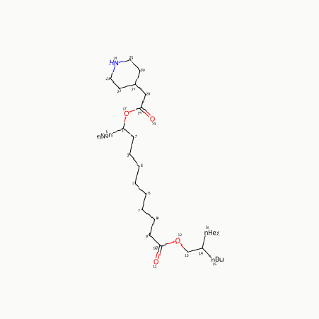 CCCCCCCCCC(CCCCCCCCC(=O)OCC(CCCC)CCCCCC)OC(=O)CC1CCNCC1